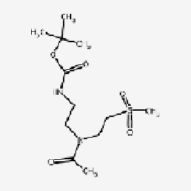 CC(=O)N(CCNC(=O)OC(C)(C)C)CCS(C)(=O)=O